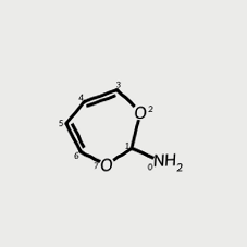 NC1OC=CC=CO1